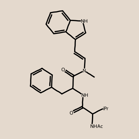 CC(=O)NC(C(=O)NC(Cc1ccccc1)C(=O)N(C)/C=C/c1c[nH]c2ccccc12)C(C)C